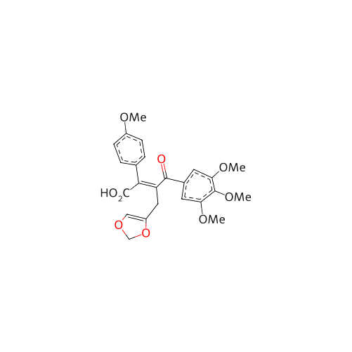 COc1ccc(C(C(=O)O)=C(CC2=COCO2)C(=O)c2cc(OC)c(OC)c(OC)c2)cc1